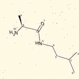 CC(C)CCNC(=O)[C@H](C)N